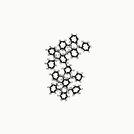 c1ccc(N2c3ccccc3B3c4cccc5c4N(c4cccc2c43)c2cc(-c3ccc4c(c3)B3c6ccccc6N6c7ccccc7B7c8ccccc8N(c8ccccc8)c8cc(c3c6c87)N4c3ccccc3)cc3c2B5c2ccccc2N3c2ccccc2)cc1